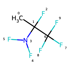 CC(F)(N(F)F)C(F)(F)F